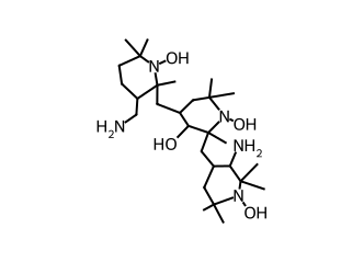 CC1(C)CC(CC2(C)C(O)C(CC3(C)C(CN)CCC(C)(C)N3O)CC(C)(C)N2O)C(N)C(C)(C)N1O